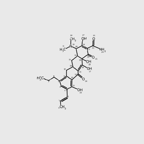 C/C=C/c1cc(CCC)c2c(c1O)C(=O)C1=C(O)C3(O)C(=O)C(C(N)=O)=C(O)C(N(C)C)C3CC1C2